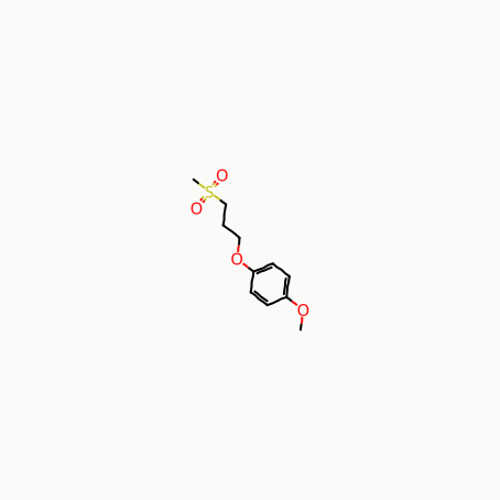 COc1ccc(OCCCS(C)(=O)=O)cc1